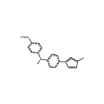 CCCCCCCc1ccc(N(C)c2ccc(C3=C=C(C)C=C3)cc2)cc1